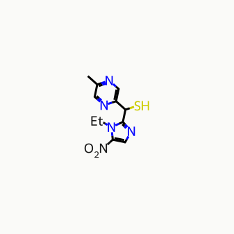 CCn1c([N+](=O)[O-])cnc1C(S)c1cnc(C)cn1